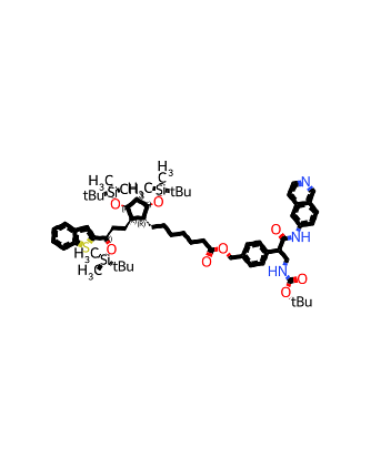 CC(C)(C)OC(=O)NCC(C(=O)Nc1ccc2cnccc2c1)c1ccc(COC(=O)CCCCCC[C@@H]2[C@@H](CC[C@@H](O[Si](C)(C)C(C)(C)C)c3cc4ccccc4s3)[C@H](O[Si](C)(C)C(C)(C)C)C[C@@H]2O[Si](C)(C)C(C)(C)C)cc1